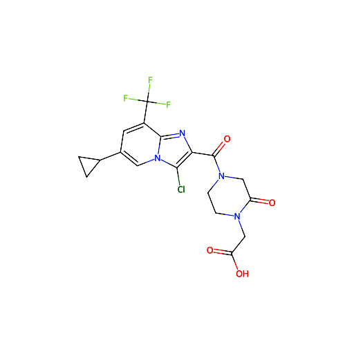 O=C(O)CN1CCN(C(=O)c2nc3c(C(F)(F)F)cc(C4CC4)cn3c2Cl)CC1=O